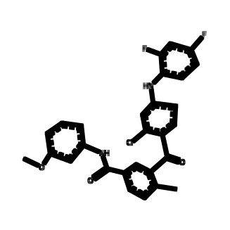 COc1cccc(NC(=O)c2ccc(C)c(C(=O)c3ccc(Nc4ccc(F)cc4F)cc3Cl)c2)c1